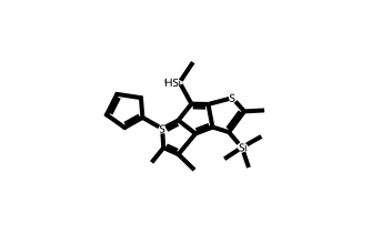 CC1=C(C)S(C2=CC=CC2)=C2C([SiH](C)C)=c3sc(C)c([Si](C)(C)C)c3=C12